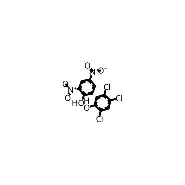 O=[N+]([O-])c1ccc(O)c([N+](=O)[O-])c1.Oc1cc(Cl)c(Cl)cc1Cl